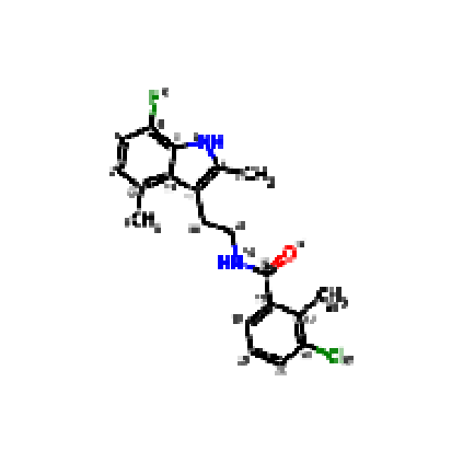 Cc1[nH]c2c(F)ccc(C)c2c1CCNC(=O)c1cccc(Cl)c1C